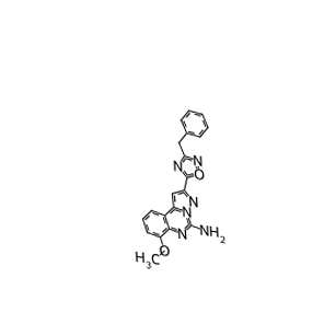 COc1cccc2c1nc(N)n1nc(-c3nc(Cc4ccccc4)no3)cc21